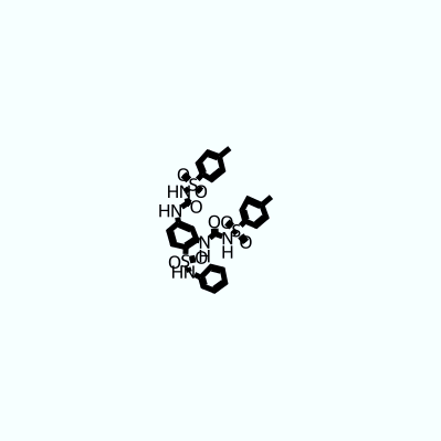 Cc1ccc(S(=O)(=O)NC(=O)Nc2ccc(S(=O)(=O)Nc3ccccc3)c(NC(=O)NS(=O)(=O)c3ccc(C)cc3)c2)cc1